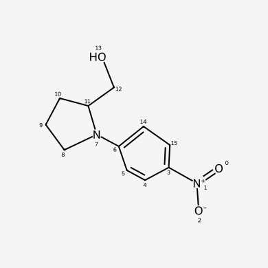 O=[N+]([O-])c1ccc(N2CCCC2CO)cc1